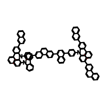 c1ccc(-c2ccc(-c3ccc4ccccc4c3)cc2N(c2ccc(-c3ccc4c(ccc5ccccc54)c3)cc2)c2ccc(-c3ccc(-c4ccc5c(ccc6cc(-c7ccc(N(c8cc(-c9ccc%10ccccc%10c9)ccc8-c8ccccc8)c8ccccc8-n8c9ccccc9c9ccccc98)cc7)ccc65)c4)c4ccccc34)cc2)cc1